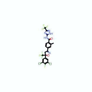 Cc1cc(C2=NOC(c3cc(Cl)c(F)c(Cl)c3)(C(F)(F)F)C2)ccc1C(=O)Nc1nc(C(F)(F)F)n[nH]1